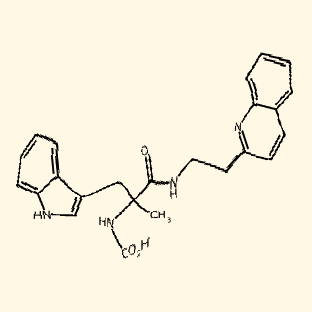 CC(Cc1c[nH]c2ccccc12)(NC(=O)O)C(=O)NCCc1ccc2ccccc2n1